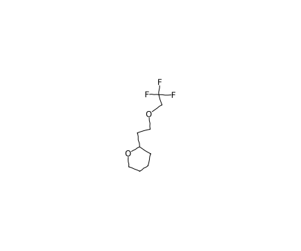 FC(F)(F)COCCC1CCCCO1